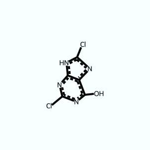 Oc1nc(Cl)nc2[nH]c(Cl)nc12